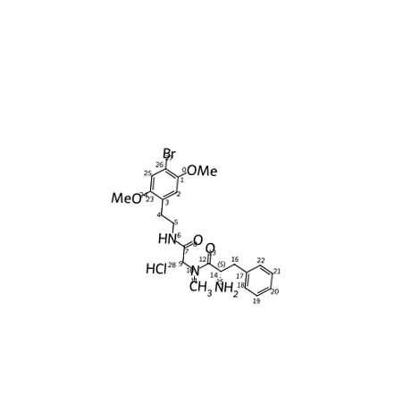 COc1cc(CCNC(=O)CN(C)C(=O)[C@@H](N)Cc2ccccc2)c(OC)cc1Br.Cl